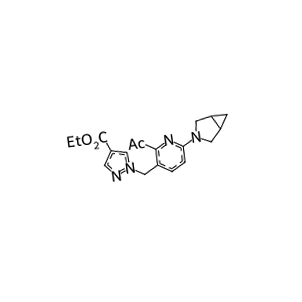 CCOC(=O)c1cnn(Cc2ccc(N3CC4CC4C3)nc2C(C)=O)c1